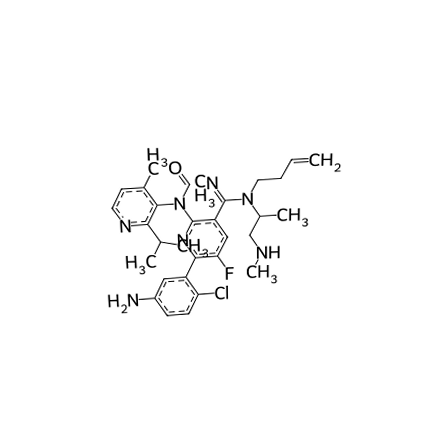 C=CCCN(/C(=N/C)c1cc(F)c(-c2cc(N)ccc2Cl)nc1N(C=O)c1c(C)ccnc1C(C)C)C(C)CNC